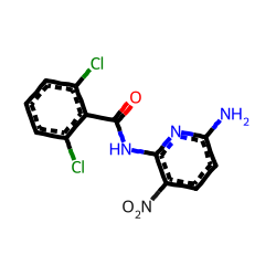 Nc1ccc([N+](=O)[O-])c(NC(=O)c2c(Cl)cccc2Cl)n1